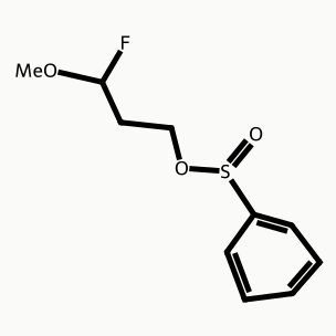 COC(F)CCOS(=O)c1ccccc1